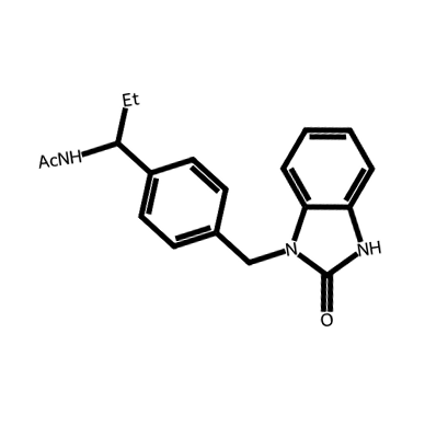 CCC(NC(C)=O)c1ccc(Cn2c(=O)[nH]c3ccccc32)cc1